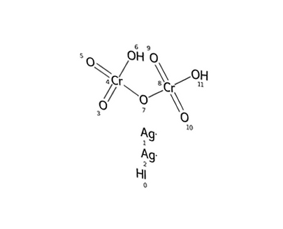 I.[Ag].[Ag].[O]=[Cr](=[O])([OH])[O][Cr](=[O])(=[O])[OH]